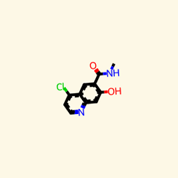 CNC(=O)c1cc2c(Cl)ccnc2cc1O